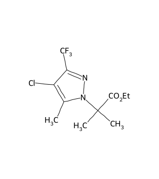 CCOC(=O)C(C)(C)n1nc(C(F)(F)F)c(Cl)c1C